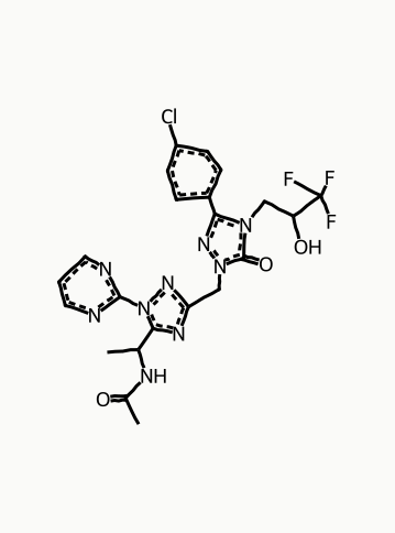 CC(=O)NC(C)c1nc(Cn2nc(-c3ccc(Cl)cc3)n(CC(O)C(F)(F)F)c2=O)nn1-c1ncccn1